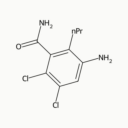 CCCc1c(N)cc(Cl)c(Cl)c1C(N)=O